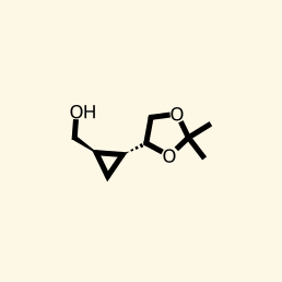 CC1(C)OCC([C@@H]2C[C@H]2CO)O1